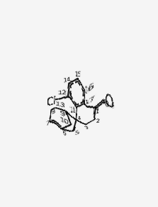 O=C1CCC2(CC3=CCC2C3)c2c(Cl)cccc21